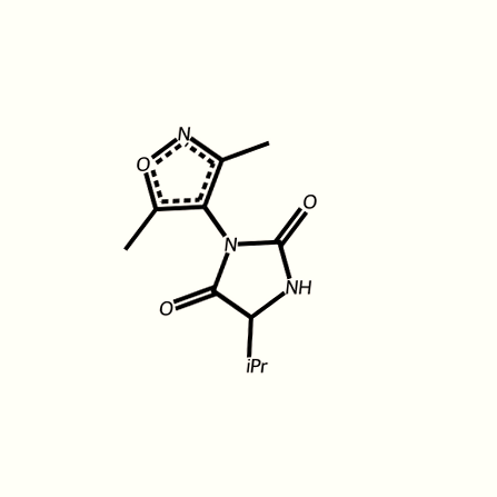 Cc1noc(C)c1N1C(=O)NC(C(C)C)C1=O